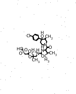 C=C1CN(C(=O)[C@H](NC(=O)NCC(C)(C)OC(=O)CS(=O)(=O)O)C(C)C)CC[C@]1(O)c1ccc(Cl)cc1